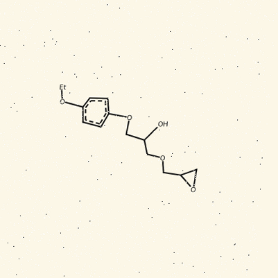 CCOc1ccc(OCC(O)COCC2CO2)cc1